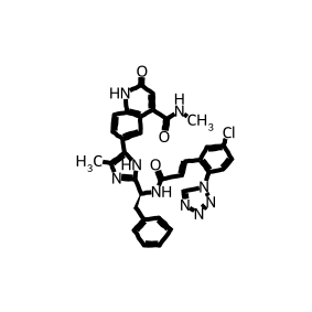 CNC(=O)c1cc(=O)[nH]c2ccc(-c3[nH]c([C@H](Cc4ccccc4)NC(=O)/C=C/c4cc(Cl)ccc4-n4cnnn4)nc3C)cc12